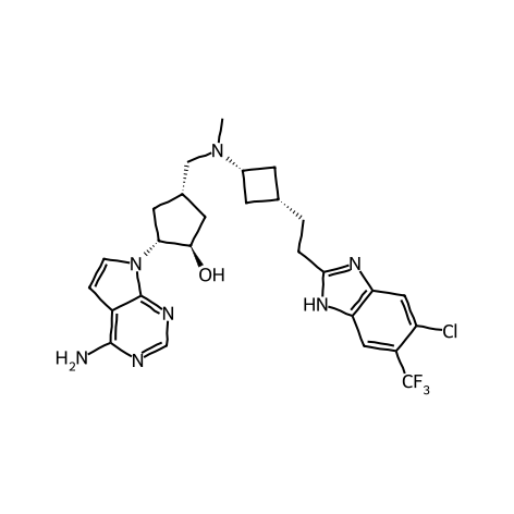 CN(C[C@@H]1C[C@@H](O)[C@H](n2ccc3c(N)ncnc32)C1)[C@H]1C[C@@H](CCc2nc3cc(Cl)c(C(F)(F)F)cc3[nH]2)C1